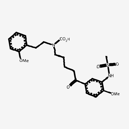 COc1ccccc1CCN(CCCCC(=O)c1ccc(OC)c(NS(C)(=O)=O)c1)C(=O)O